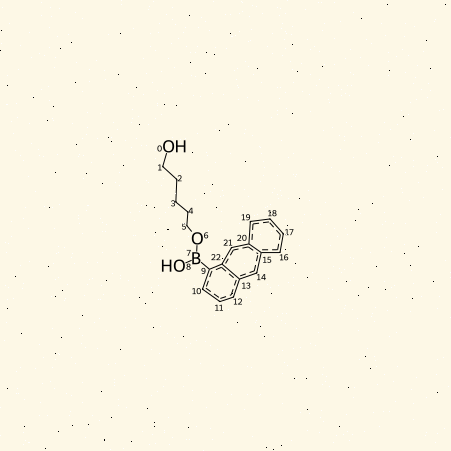 OCCCCCOB(O)c1cccc2cc3ccccc3cc12